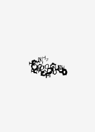 NC(=O)[C@@H]1CC[C@@H]2C=C[C@H]3CCN(C(=O)[C@@H]4CC[C@H]5C=C[C@]6(CCCN6C(=O)[C@@H](N)Cc6ccccc6Cl)C(=O)N54)[C@@H]3C(=O)N21